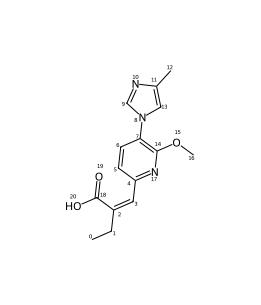 CCC(=Cc1ccc(-n2cnc(C)c2)c(OC)n1)C(=O)O